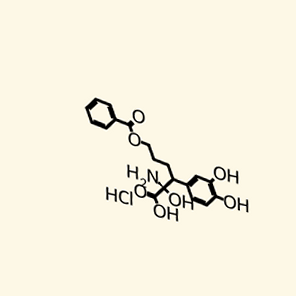 Cl.N[C@@](O)(C(=O)O)C(CCCOC(=O)c1ccccc1)c1ccc(O)c(O)c1